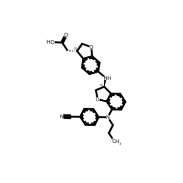 CCCN(c1ccc(C#N)cc1)c1cccc2c1OC[C@H]2Nc1ccc2c(c1)OC[C@H]2CC(=O)O